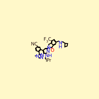 CC(C)CNc1cc(-c2cc(C#N)ccc2-c2nncn2C)cc(N2Cc3c(cc(CNCC4CCC4)cc3C(F)(F)F)C2=O)n1